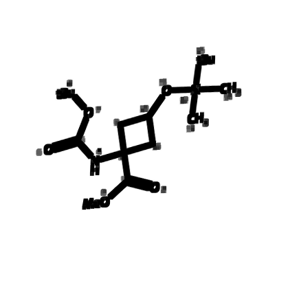 COC(=O)C1(NC(=O)OC(C)(C)C)CC(O[Si](C)(C)C(C)(C)C)C1